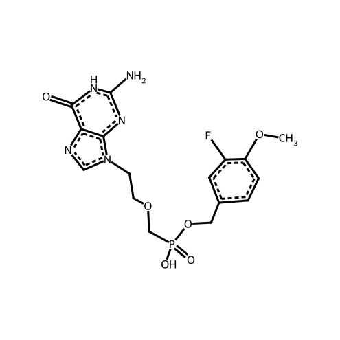 COc1ccc(COP(=O)(O)COCCn2cnc3c(=O)[nH]c(N)nc32)cc1F